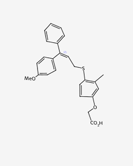 COc1ccc(/C(=C\CSc2ccc(OCC(=O)O)cc2C)c2ccccc2)cc1